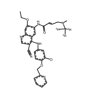 [2H]C([2H])([2H])N(C)C/C=C/C(=O)Nc1cc2c(Nc3ccc(OCc4ccccn4)c(Cl)c3)c(C#N)cnc2cc1OCC